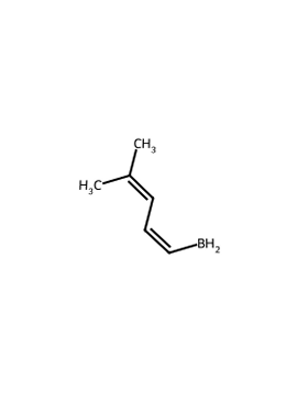 B/C=C\C=C(C)C